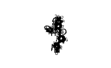 Cn1cc(-c2cccc(NC(=O)c3cc4c(nc3O[C@@H]3CCOC3)OC(C)(C)C4)n2)cn1